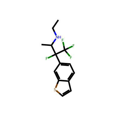 CCNC(C)C(F)(c1ccc2ccsc2c1)C(F)(F)F